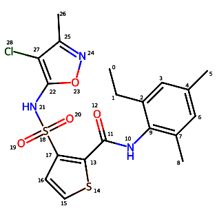 CCc1cc(C)cc(C)c1NC(=O)c1sccc1S(=O)(=O)Nc1onc(C)c1Cl